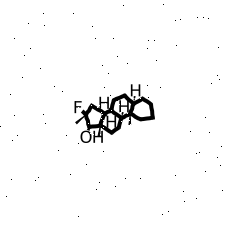 C[C@]12CCCC[C@@H]1CC[C@@H]1[C@@H]2CC[C@]2(C)[C@@H](O)[C@](C)(F)C[C@@H]12